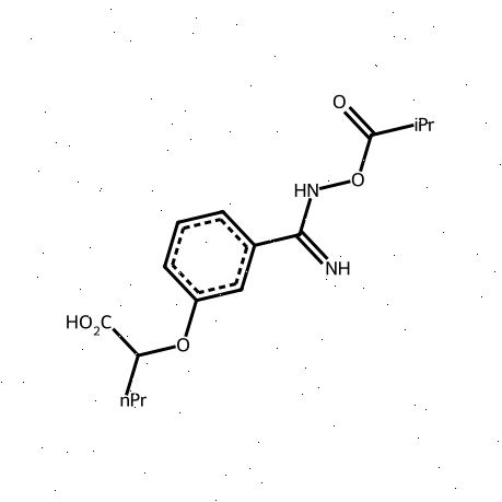 CCCC(Oc1cccc(C(=N)NOC(=O)C(C)C)c1)C(=O)O